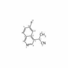 CC(C#N)c1cncc2ccc(F)cc12